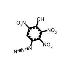 [N-]=[N+]=Nc1cc([N+](=O)[O-])c(O)c([N+](=O)[O-])c1[N+](=O)[O-]